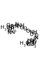 CC(C)(C)CC[C@H](NC(=O)c1ccc(Oc2cccc(C(=O)NCCOCCOCCOCCNc3ncc(-c4ccc5c(n4)N(Cc4cccnc4C#N)C(C)(C)C5=O)cn3)c2)nc1)C(=O)O